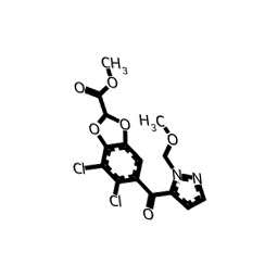 COCn1nccc1C(=O)c1cc2c(c(Cl)c1Cl)OC(C(=O)OC)O2